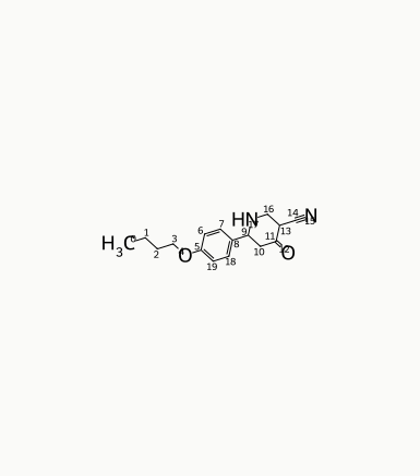 CCCCOc1ccc(C2CC(=O)C(C#N)CN2)cc1